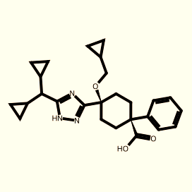 O=C(O)[C@]1(c2ccccc2)CC[C@@](OCC2CC2)(c2n[nH]c(C(C3CC3)C3CC3)n2)CC1